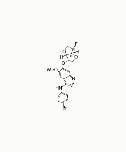 COc1cc2c(Nc3ccc(Br)cc3)ncnc2cc1OC1CO[C@H]2[C@H](F)CO[C@@H]12